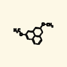 COC1=Cc2cc(OC)cc3cccc(c23)C1